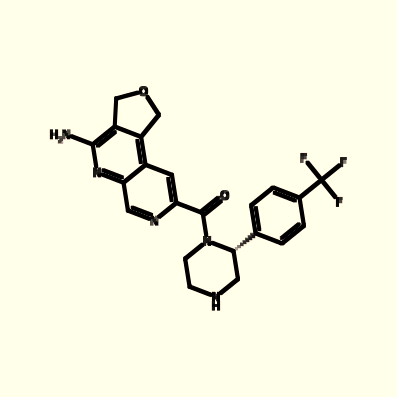 Nc1nc2cnc(C(=O)N3CCNC[C@H]3c3ccc(C(F)(F)F)cc3)cc2c2c1COC2